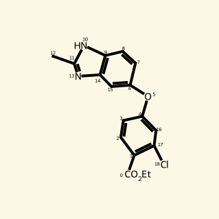 CCOC(=O)c1ccc(Oc2ccc3[nH]c(C)nc3c2)cc1Cl